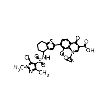 COc1c(-c2cc3c(s2)CCCC3NS(=O)(=O)c2c(C)nn(C)c2Cl)ccc2c(=O)c(C(=O)O)cn(C3CC3)c12